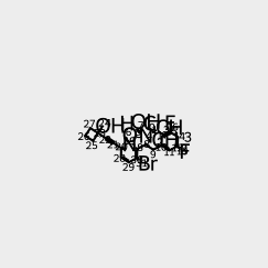 CC(C)(C)N(C(=O)O)C(Cc1cc(F)cc(F)c1)c1nc(C#CC2(O)CCC2)ccc1Br